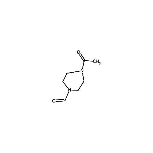 CC(=O)N1CCN(C=O)CC1